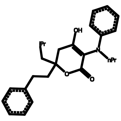 CCCN(C1=C(O)CC(CCc2ccccc2)(CC(C)C)OC1=O)c1ccccc1